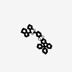 c1ccc(C2(c3ccccc3)c3ccccc3-c3cc4c(cc32)Oc2cc(-c3nc(-c5cccc6ccccc56)c5ccccc5n3)ccc2O4)cc1